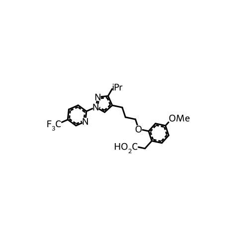 COc1ccc(CC(=O)O)c(OCCCc2cn(-c3ccc(C(F)(F)F)cn3)nc2C(C)C)c1